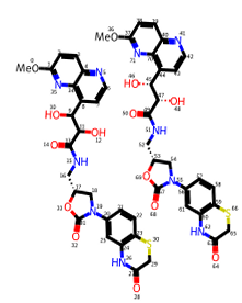 COc1ccc2nccc(C(O)C(O)C(=O)NC[C@@H]3CN(c4ccc5c(c4)NC(=O)CS5)C(=O)O3)c2n1.COc1ccc2nccc([C@@H](O)[C@H](O)C(=O)NC[C@@H]3CN(c4ccc5c(c4)NC(=O)CS5)C(=O)O3)c2n1